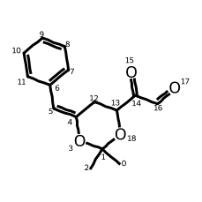 CC1(C)OC(=Cc2ccccc2)CC(C(=O)C=O)O1